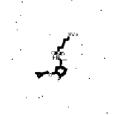 CNCCCCS(=O)(=O)N[C@@H](C)c1ccc(F)c(OCC2CC2)c1